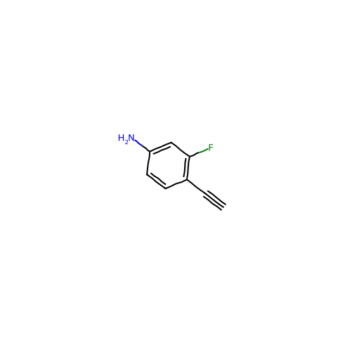 C#Cc1ccc(N)cc1F